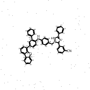 N#Cc1cccc(C2N=C(c3ccccc3)NN2Cc2ccc(Nc3ccc(-c4cccc5c4oc4ccccc45)cc3-c3ccccc3)cc2)c1